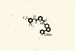 COc1ncccc1-c1cccc2c1CC(NC(=O)c1cccc(C(=O)Nc3cc(C(F)(F)F)cc(C(F)(F)F)c3)n1)CC2